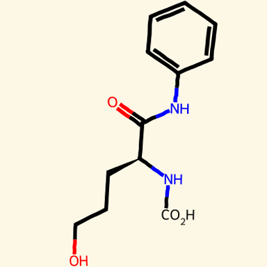 O=C(O)N[C@@H](CCCO)C(=O)Nc1ccccc1